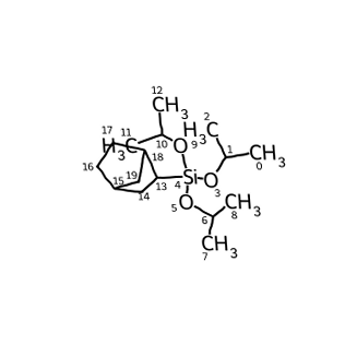 CC(C)O[Si](OC(C)C)(OC(C)C)C1CC2CCC1C2